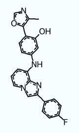 Cc1ncoc1-c1ccc(Nc2cccn3cc(-c4ccc(F)cc4)nc23)cc1O